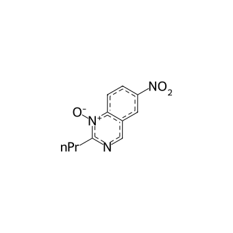 CCCc1ncc2cc([N+](=O)[O-])ccc2[n+]1[O-]